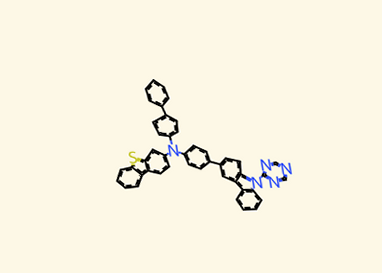 c1ccc(-c2ccc(N(c3ccc(-c4ccc5c(c4)c4ccccc4n5-c4ncncn4)cc3)c3ccc4c(c3)sc3ccccc34)cc2)cc1